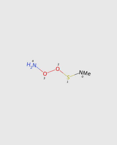 CNSOON